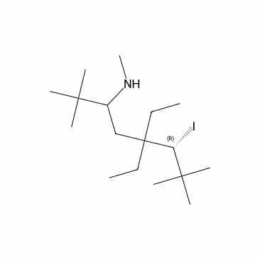 CCC(CC)(CC(NC)C(C)(C)C)[C@H](I)C(C)(C)C